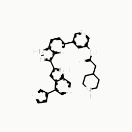 O=C(CC1CCNCC1)Nc1cncc(-c2ccc3[nH]nc(-c4cc5c(-c6ccoc6)cncc5[nH]4)c3n2)c1